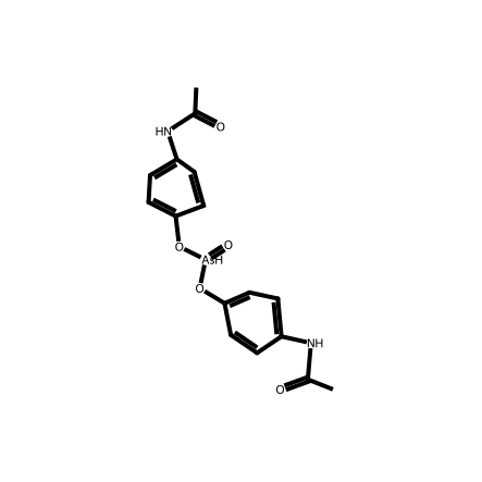 CC(=O)Nc1ccc(O[AsH](=O)Oc2ccc(NC(C)=O)cc2)cc1